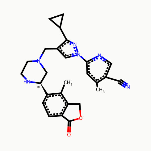 Cc1cc(-n2cc(CN3CCN[C@H](c4ccc5c(c4C)COC5=O)C3)c(C3CC3)n2)ncc1C#N